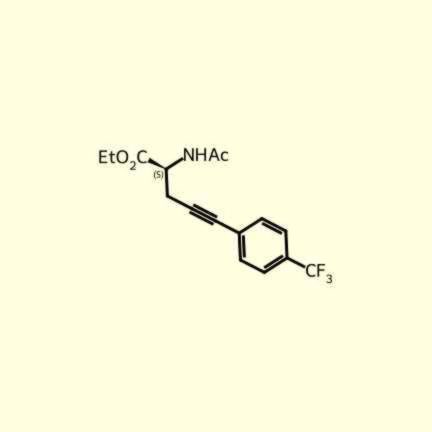 CCOC(=O)[C@H](CC#Cc1ccc(C(F)(F)F)cc1)NC(C)=O